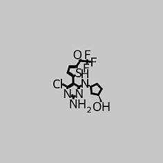 Nc1nc(Cl)c(-c2ccc(C(=O)C(F)(F)F)s2)c(N[C@H]2CC[C@@H](CO)C2)n1